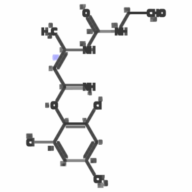 C/C(=C/C(=N)Oc1c(Cl)cc(C(F)(F)F)cc1Cl)NC(=O)NCC=O